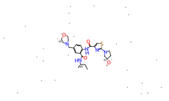 CC[C@@H](C)NC(=O)c1cc(CN2CCO[C@@H](C)C2)ccc1NC(=O)c1csc(N2CC[C@H](OC)C2)n1